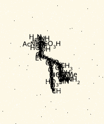 C#CCOCCOCCOCCOCCOC(=O)N(CCCCCN(CC)C(=O)OC[C@@H](O)[C@@H](O)C1O[C@H](S(=O)(=O)O)C[C@H](NC(=N)N)[C@H]1NC(C)=O)CCOCCN(C)C(=O)OC[C@@H](O)[C@@H](O)C1OC(S(=O)(=O)O)C[C@H](NC(=N)N)[C@H]1NC